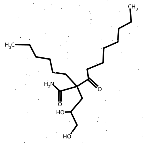 CCCCCCCC(=O)C(CCCCCC)(CC(O)CO)C(N)=O